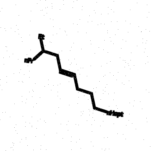 [CH2]CCCCCCCCCC=CCC(CC)CC[CH2]